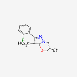 CCC1COc2c(C(=O)O)c(-c3ccccc3F)nn2C1